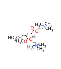 CCC(CC(CC(C)C(=O)O)C(=O)OCC[N+](C)(C)C)C(=O)OCC[N+](C)(C)C